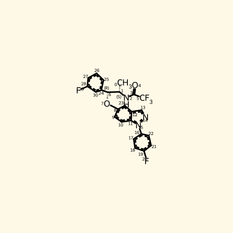 C[C@H](NC(=O)C(F)(F)F)[C@H](Oc1ccc2c(cnn2-c2ccc(F)cc2)c1)c1cccc(F)c1